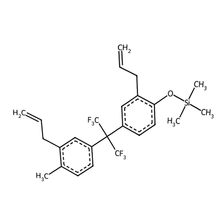 C=CCc1cc(C(c2ccc(O[Si](C)(C)C)c(CC=C)c2)(C(F)(F)F)C(F)(F)F)ccc1C